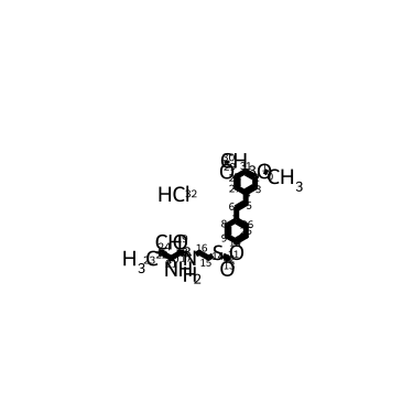 COc1cc(C=Cc2ccc(OC(=O)SCCNC(=O)C(N)C(C)C)cc2)cc(OC)c1.Cl